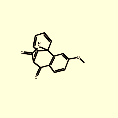 COc1ccc2c(c1)C13C=CC=CC1=C(C(=O)N3)C2=O